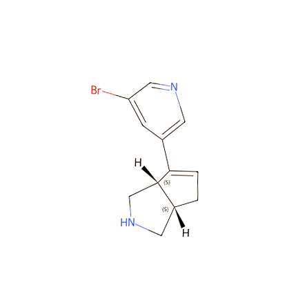 Brc1cncc(C2=CC[C@@H]3CNC[C@H]23)c1